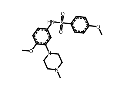 COc1ccc(S(=O)(=O)Nc2ccc(OC)c(N3CCN(C)CC3)c2)cc1